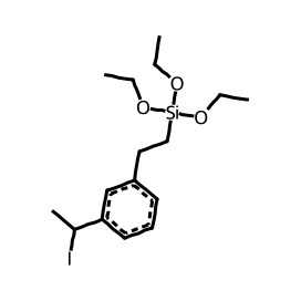 CCO[Si](CCc1cccc(C(C)I)c1)(OCC)OCC